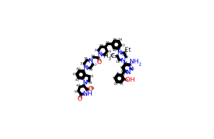 CC[C@@H]1CN(c2cc(-c3ccccc3O)nnc2N)C[C@H](C)N1c1cccc(CC2CCN(C(=O)CN3CCN(c4cccc5c4CCN5[C@@H]4CCC(=O)NC4=O)CC3)CC2)c1